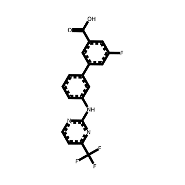 O=C(O)c1cc(F)cc(-c2cccc(Nc3nccc(C(F)(F)F)n3)c2)c1